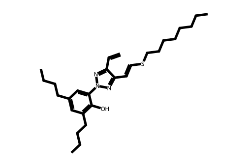 C=Cc1nn(-c2cc(CCCC)cc(CCCC)c2O)nc1/C=C/SCCCCCCCC